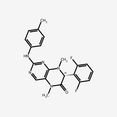 Cc1ccc(Nc2ncc3c(n2)N(C)[C@H](c2c(F)cccc2F)C(=O)N3C)cc1